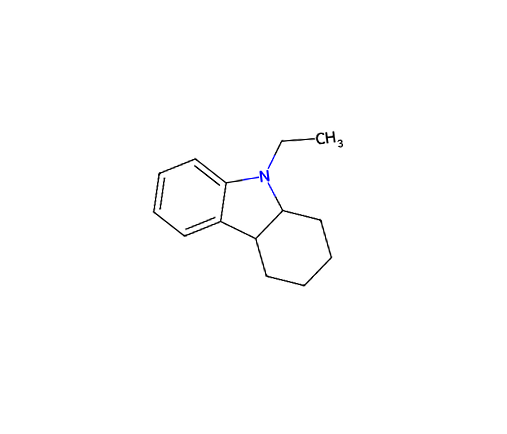 CCN1c2ccccc2C2CCCCC21